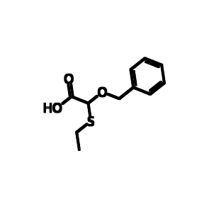 CCSC(OCc1ccccc1)C(=O)O